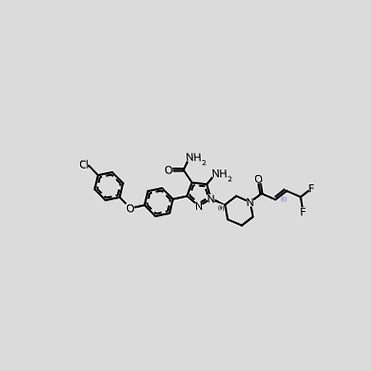 NC(=O)c1c(-c2ccc(Oc3ccc(Cl)cc3)cc2)nn([C@@H]2CCCN(C(=O)/C=C/C(F)F)C2)c1N